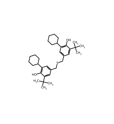 CC(C)(C)c1cc(CSCc2cc(C3CCCCC3)c(O)c(C(C)(C)C)c2)cc(C2CCCCC2)c1O